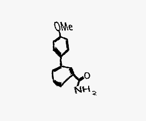 COc1ccc(-c2cccc(C(N)=O)c2)cc1